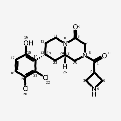 O=C(C1CNC1)N1CC(=O)N2CC[C@@H](c3c(O)ccc(Cl)c3Cl)C[C@H]2C1